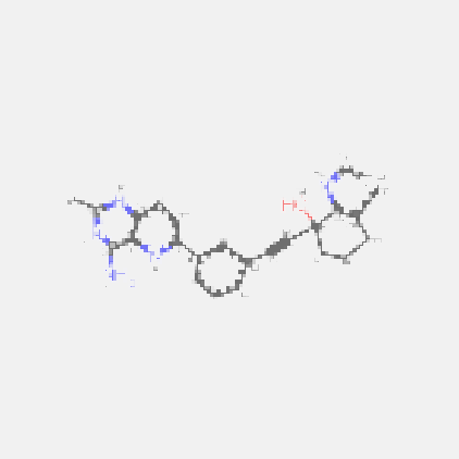 Cc1nc(N)c2nc(-c3cccc(C#CC4(O)CCCc5cccnc54)c3)ccc2n1